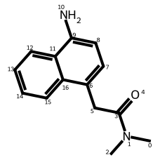 CN(C)C(=O)Cc1ccc(N)c2ccccc12